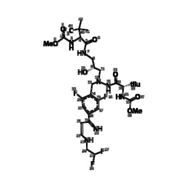 COC(=O)NC(C(=O)NC[C@@H](O)CN(Cc1c(F)cc(C(=N)/C=C\NCC(F)F)cc1F)NC(=O)[C@@H](NC(=O)OC)C(C)(C)C)C(C)(C)C(F)(F)F